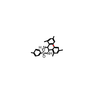 Cc1ccc(S(=O)(=O)NC(c2c(C)cc(C)cc2C)C(N)c2c(C)cc(C)cc2C)cc1